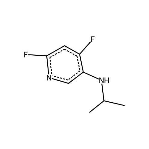 CC(C)Nc1cnc(F)cc1F